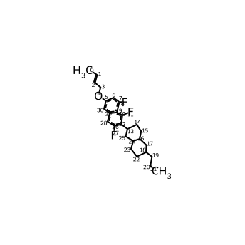 C/C=C/COc1cc(F)c2c(F)c(C3CCC4CC(CCC)CCC4C3)c(F)cc2c1